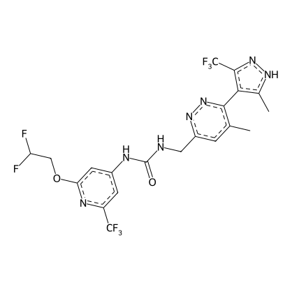 Cc1cc(CNC(=O)Nc2cc(OCC(F)F)nc(C(F)(F)F)c2)nnc1-c1c(C(F)(F)F)n[nH]c1C